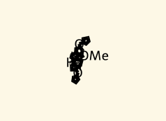 COC[C@]12CCC(OC3=CCCC3)C=C1CC[C@@H]1[C@H]2CC[C@]2(C)C(OC3=CCCC3)CC[C@@H]12